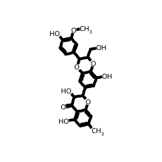 COc1cc(C2Oc3cc(C4Oc5cc(C)cc(O)c5C(=O)C4O)cc(O)c3OC2CO)ccc1O